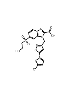 O=C(O)c1nc2ccc(S(=O)(=O)CCO)cc2n1Cc1cc(-c2ccc(Cl)s2)on1